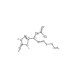 CCCC=CC(OC(=O)Cl)c1noc(=O)o1